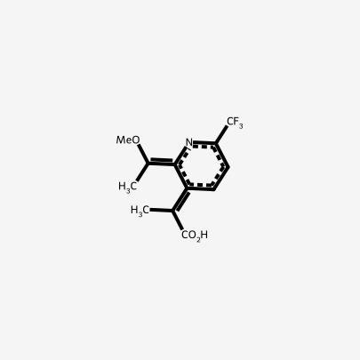 CO/C(C)=c1\nc(C(F)(F)F)cc\c1=C(\C)C(=O)O